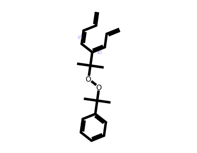 C=C/C=C\C(=C/C=C)C(C)(C)OOC(C)(C)c1ccccc1